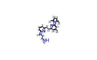 CNCCN(C)c1cccc(CCc2cc(C)cc(-n3c(C)ccc3C)n2)n1